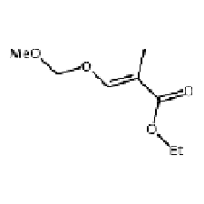 CCOC(=O)C(C)=COCOC